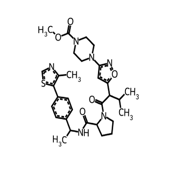 COC(=O)N1CCN(c2cc(C(C(=O)N3CCCC3C(=O)NC(C)c3ccc(-c4scnc4C)cc3)C(C)C)on2)CC1